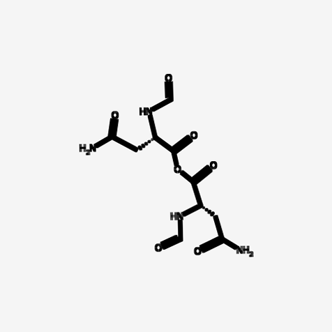 NC(=O)C[C@H](NC=O)C(=O)OC(=O)[C@H](CC(N)=O)NC=O